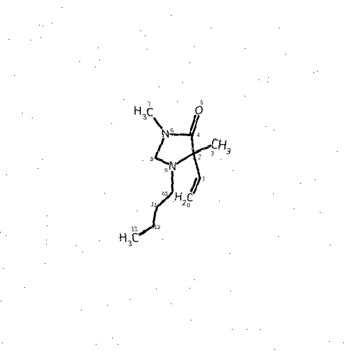 C=CC1(C)C(=O)N(C)CN1CCCC